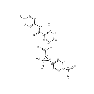 O=C(Nc1ccc(F)cc1)c1cc(CC(=O)C2C(c3ccc([N+](=O)[O-])cc3)C2(Cl)Cl)ccc1Cl